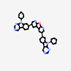 c1ccc(-n2c3cc(-c4cnc5oc6ncc(-c7ccc8c9cncnc9n(-c9ccccc9)c8c7)cc6c5c4)ccc3c3cncnc32)cc1